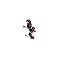 Cc1cc(C)c(NS(=O)(=O)c2cccc(C(=O)O)c2)c(C)c1/N=c1/cc2oc3cc(Nc4c(C)cc(C)c(NS(=O)(=O)c5ccccc5)c4C)ccc3c(-c3ccccc3S(=O)(=O)O)c-2cc1S(=O)(=O)O